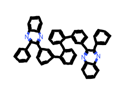 c1ccc(-c2nc3ccccc3nc2-c2cccc(-c3ccccc3-c3ccccc3-c3cccc(-c4nc5ccccc5nc4-c4ccccc4)c3)c2)cc1